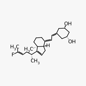 C/C(F)=C\C[C@@H](C)C1=CC[C@H]2/C(=C/C=C3C[C@@H](O)C[C@H](O)C3)CCC[C@]12C